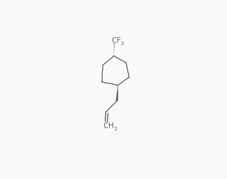 C=CC[C@H]1CC[C@H](C(F)(F)F)CC1